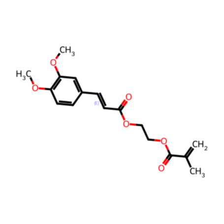 C=C(C)C(=O)OCCOC(=O)/C=C/c1ccc(OC)c(OC)c1